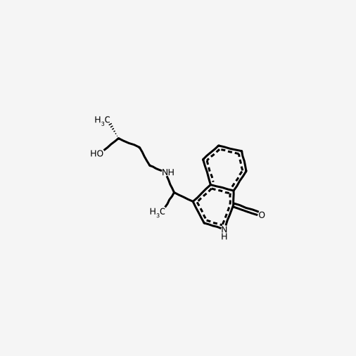 CC(NCC[C@@H](C)O)c1c[nH]c(=O)c2ccccc12